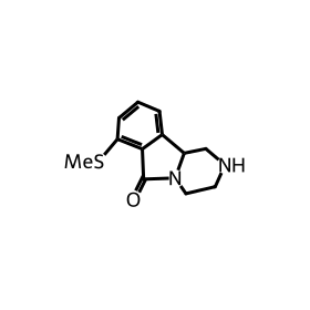 CSc1cccc2c1C(=O)N1CCNCC21